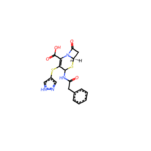 O=C(Cc1ccccc1)NC1S[C@@H]2CC(=O)N2C(C(=O)O)=C1Sc1cn[nH]c1